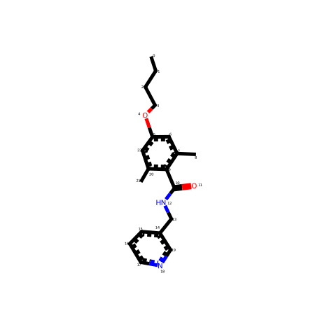 CCCCOc1cc(C)c(C(=O)NCc2cccnc2)c(C)c1